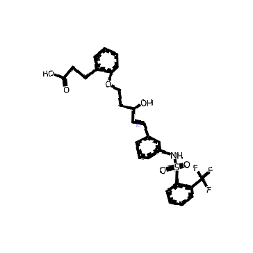 O=C(O)CCc1ccccc1OCCC(O)/C=C/c1cccc(NS(=O)(=O)c2ccccc2C(F)(F)F)c1